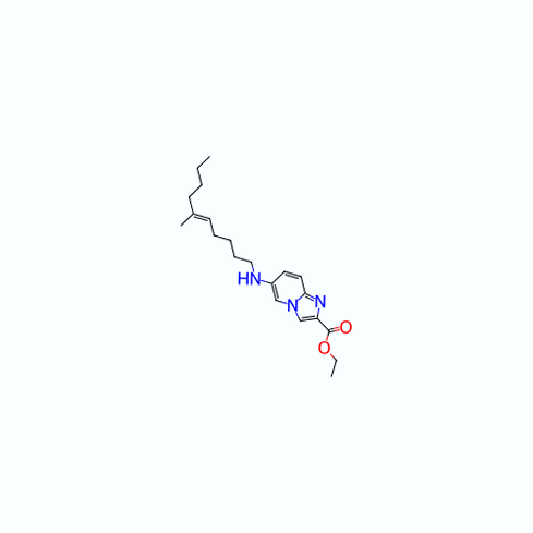 CCCC/C(C)=C/CCCCNc1ccc2nc(C(=O)OCC)cn2c1